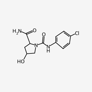 NC(=O)C1CC(O)CN1C(=O)Nc1ccc(Cl)cc1